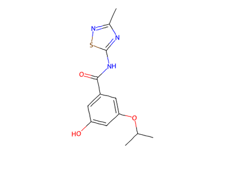 Cc1nsc(NC(=O)c2cc(O)cc(OC(C)C)c2)n1